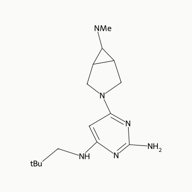 CNC1C2CN(c3cc(NCC(C)(C)C)nc(N)n3)CC21